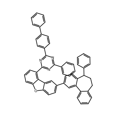 c1ccc(-c2ccc(-c3nc(-c4ccccc4)nc(-c4cccc5oc6ccc(-c7ccc8c(c7)-c7ccccc7CCC8c7ccccc7)cc6c45)n3)cc2)cc1